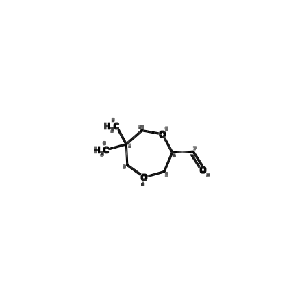 CC1(C)COCC(C=O)OC1